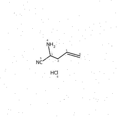 C=CCC(N)C#N.Cl